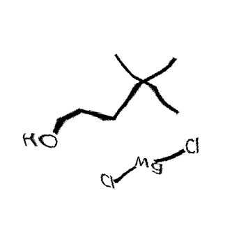 CC(C)(C)CCO.[Cl][Mg][Cl]